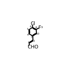 O=CC=Cc1ccc(Cl)c(F)c1